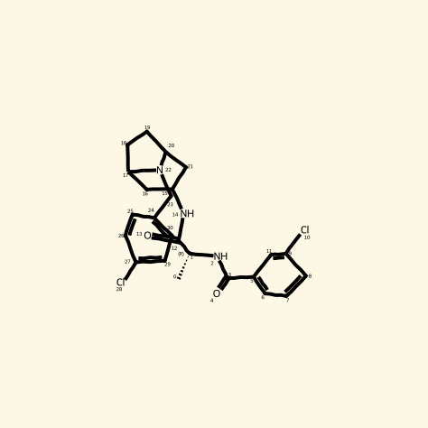 C[C@@H](NC(=O)c1cccc(Cl)c1)C(=O)NC1CC2CCC(C1)N2Cc1ccc(Cl)cc1